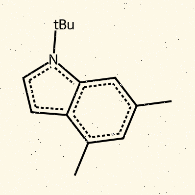 Cc1cc(C)c2ccn(C(C)(C)C)c2c1